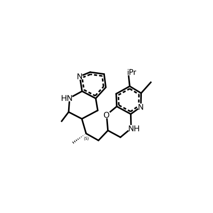 Cc1nc2c(cc1C(C)C)OC(C[C@H](C)C1Cc3cccnc3NC1C)CN2